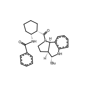 CC(C)(C)[C@H]1Nc2ccccc2[C@H]2[C@@H]1CCN2C(=O)[C@H]1CCCC[C@H]1NC(=O)c1ccccc1